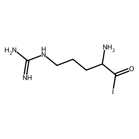 N=C(N)NCCCC(N)C(=O)I